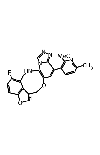 COc1nc(C)ccc1-c1cc2c(n3cnnc13)NCc1c(F)ccc3c1[C@@H](CO3)CO2